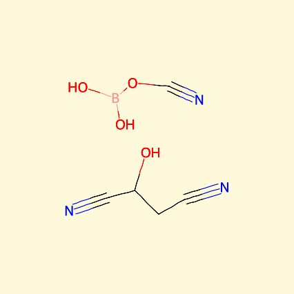 N#CCC(O)C#N.N#COB(O)O